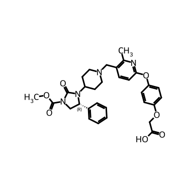 COC(=O)N1C[C@@H](c2ccccc2)N(C2CCN(Cc3ccc(Oc4ccc(OCC(=O)O)cc4)nc3C)CC2)C1=O